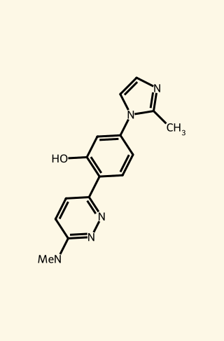 CNc1ccc(-c2ccc(-n3ccnc3C)cc2O)nn1